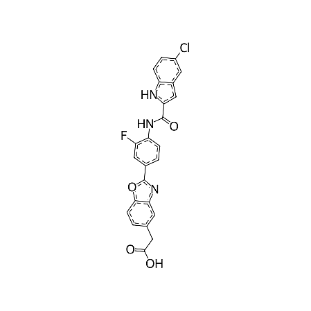 O=C(O)Cc1ccc2oc(-c3ccc(NC(=O)c4cc5cc(Cl)ccc5[nH]4)c(F)c3)nc2c1